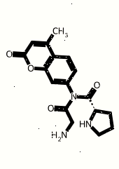 Cc1cc(=O)oc2cc(N(C(=O)CN)C(=O)[C@@H]3CCCN3)ccc12